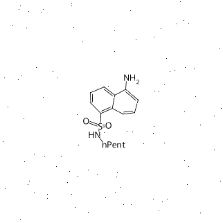 CCCCCNS(=O)(=O)c1cccc2c(N)cccc12